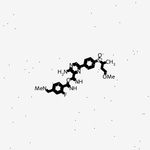 CNCc1ccc(C(=N)OC(=N)c2nc(-c3ccc([S+]([O-])C(C)CCOC)cc3)cnc2N)c(F)c1